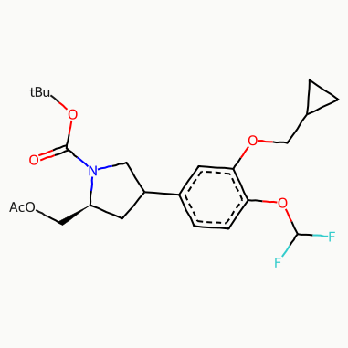 CC(=O)OC[C@@H]1CC(c2ccc(OC(F)F)c(OCC3CC3)c2)CN1C(=O)OC(C)(C)C